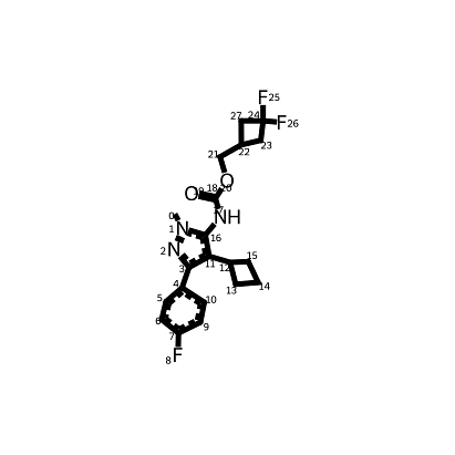 Cn1nc(-c2ccc(F)cc2)c(C2CCC2)c1NC(=O)OCC1CC(F)(F)C1